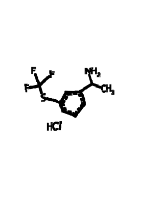 CC(N)c1cccc(SC(F)(F)F)c1.Cl